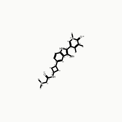 Cc1c(-c2[nH]c3ccc(C4CC(NC(=O)CN(C)C)C4)cc3c2C(C)C)cn(C)c(=O)c1C